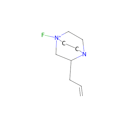 C=CCC1C[N+]2(F)CCN1CC2